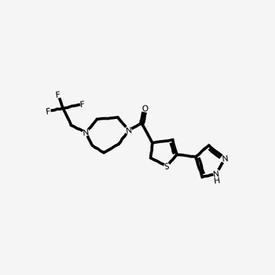 O=C(C1C=C(c2cn[nH]c2)SC1)N1CCCN(CC(F)(F)F)CC1